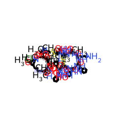 COc1cc2cc(c1Cl)N(C)C(=O)C[C@H](OC(=O)[C@H](C)N(C)C(=O)CCSSC(C)(C)[C@H](NC(=O)[C@@H]1CSSC[C@H](NC(=O)[C@@H](Cc3ccccc3)NC(=O)Nc3ccccc3)C(=O)N[C@@H](Cc3ccc(O)cc3)C(=O)N[C@H](Cc3c[nH]c4ccccc34)C(=O)N[C@@H](CCCCN)C(=O)N[C@@H]([C@@H](C)O)C(=O)N1)C(N)=O)[C@]1(C)O[C@H]1[C@H](C)[C@@H]1C[C@@](O)(NC(=O)O1)[C@H](OC)/C=C/C=C(\C)C2